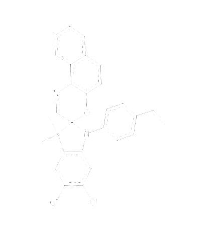 C=Cc1ccc(N2c3cc(Cl)c(Cl)cc3C(C)(C)C23C=Nc2c(ccc4ccccc24)O3)cc1